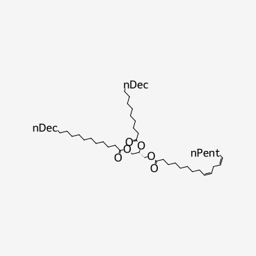 CCCCC/C=C\C/C=C\CCCCCCCC(=O)OC[C@H](COC(=O)CCCCCCCCCCCCCCCCCCCC)OC(=O)CCCCCCCCCCCCCCCCCC